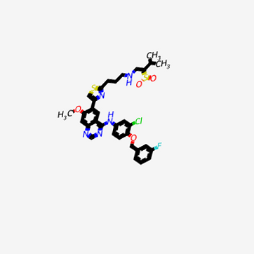 COc1cc2ncnc(Nc3ccc(OCc4cccc(F)c4)c(Cl)c3)c2cc1-c1csc(CCCNCC(C(C)C)=S(=O)=O)n1